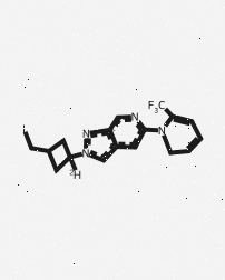 [2H]C1(n2cc3cc(N4CC=CC=C4C(F)(F)F)ncc3n2)CC(CI)C1